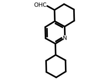 O=CC1CCCc2nc(C3CCCCC3)ccc21